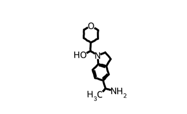 CC(N)c1ccc2c(c1)CCN2C(O)C1CCOCC1